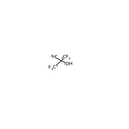 [2H]C(O)(C(F)(F)F)C(F)(F)F